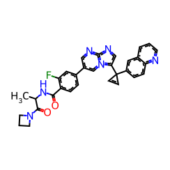 CC(NC(=O)c1ccc(-c2cnc3ncc(C4(c5ccc6ncccc6c5)C=C4)n3c2)cc1F)C(=O)N1CCC1